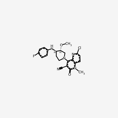 CO[C@@H]1CN(c2c(C#N)c(=O)n(C)c3ccc(Cl)nc23)CC[C@H]1Nc1ccc(F)cc1